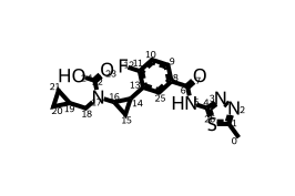 Cc1nnc(NC(=O)c2ccc(F)c(C3CC3N(CC3CC3)C(=O)O)c2)s1